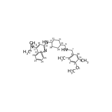 COc1cc(C)c(CNCC2CCC(Nc3cc(N(C)C)c4ccccc4n3)CC2)cc1C